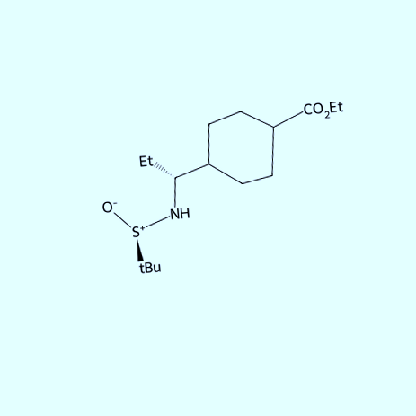 CCOC(=O)C1CCC([C@@H](CC)N[S@+]([O-])C(C)(C)C)CC1